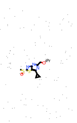 CC(C)OCc1nc(C2CC2)c2sc([S+](C)[O-])nc2n1